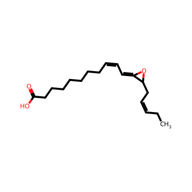 CC/C=C\CC1O/C1=C\C=C/CCCCCCCC(=O)O